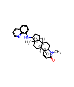 CN1C(=O)C=C[C@@]2(C)C1CC[C@@H]1[C@H]2CC[C@]2(C)C(Nc3cccc4cccnc34)CC[C@@H]12